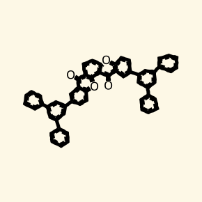 O=c1c2cc(-c3cc(-c4ccccc4)cc(-c4ccccc4)c3)ccc2oc2c1ccc1oc3ccc(-c4cc(-c5ccccc5)cc(-c5ccccc5)c4)cc3c(=O)c12